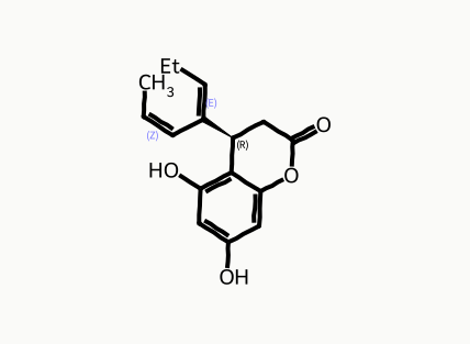 C/C=C\C(=C/CC)[C@H]1CC(=O)Oc2cc(O)cc(O)c21